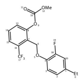 CCc1ccc(OCc2c(OC(=O)OC)cccc2C(F)(F)F)c(F)c1